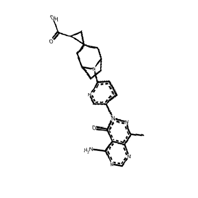 Cc1nn(-c2ccc(N3C4CCC3CC3(C4)CC3C(=O)O)nc2)c(=O)c2c(N)ncnc12